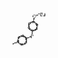 CCCCOc1ccc([I+]c2ccc(C)cc2)cc1